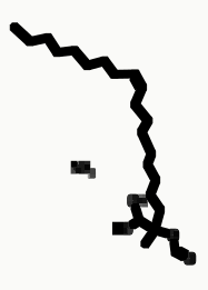 CCCCCCCC/C=C\CCCCCCCCC(C)(OC=O)C(O)O.N